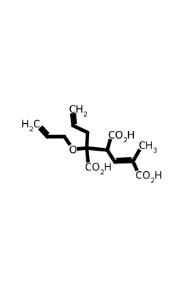 C=CCOC(CC=C)(C(=O)O)C(C=C(C)C(=O)O)C(=O)O